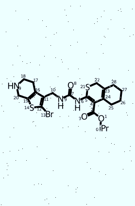 CC(C)OC(=O)C1=C(NC(=O)NCc2c(Br)sc3c2CCNC3)SCC2=C1CCCC2